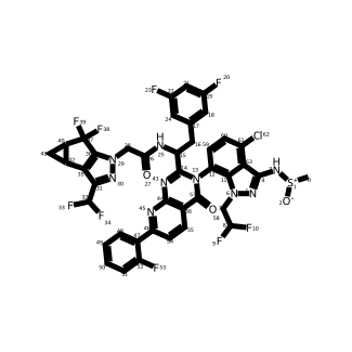 C[S+]([O-])Nc1nn(CC(F)F)c2c(-n3c(C(Cc4cc(F)cc(F)c4)NC(=O)Cn4nc(C(F)F)c5c4C(F)(F)C4CC54)nc4nc(-c5ccccc5F)ccc4c3=O)ccc(Cl)c12